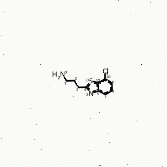 NCCCc1nc2cccc(Cl)c2s1